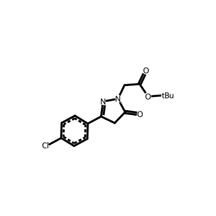 CC(C)(C)OC(=O)CN1N=C(c2ccc(Cl)cc2)CC1=O